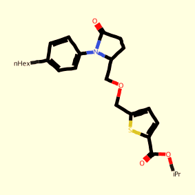 CCCCCCc1ccc(N2C(=O)CCC2COCc2ccc(C(=O)OC(C)C)s2)cc1